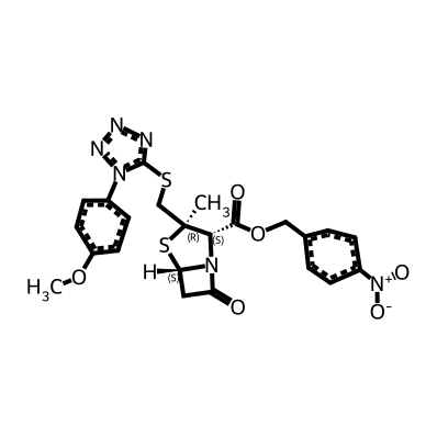 COc1ccc(-n2nnnc2SC[C@]2(C)S[C@H]3CC(=O)N3[C@H]2C(=O)OCc2ccc([N+](=O)[O-])cc2)cc1